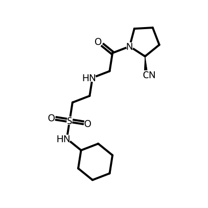 N#C[C@@H]1CCCN1C(=O)CNCCS(=O)(=O)NC1CCCCC1